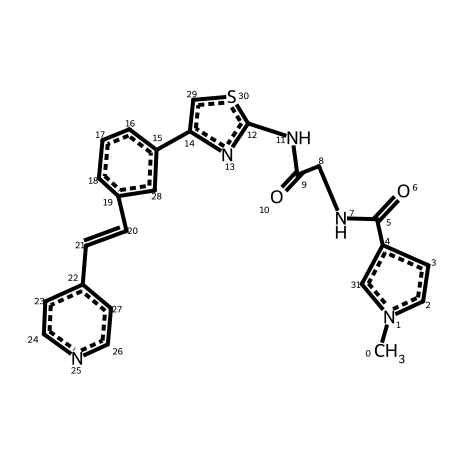 Cn1ccc(C(=O)NCC(=O)Nc2nc(-c3cccc(/C=C/c4ccncc4)c3)cs2)c1